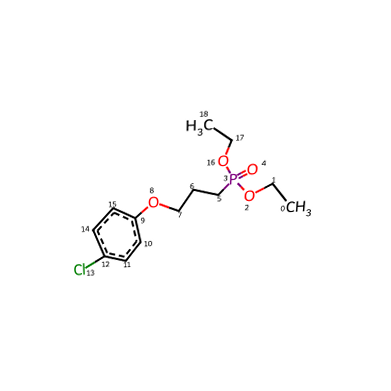 CCOP(=O)(CCCOc1ccc(Cl)cc1)OCC